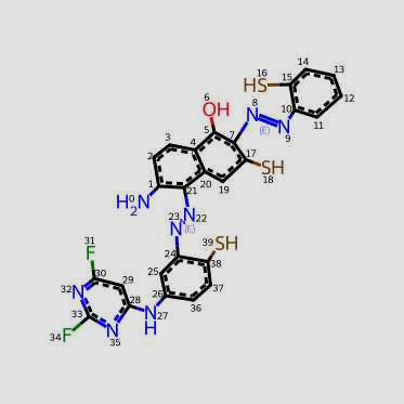 Nc1ccc2c(O)c(/N=N/c3ccccc3S)c(S)cc2c1/N=N/c1cc(Nc2cc(F)nc(F)n2)ccc1S